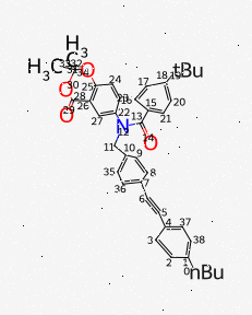 CCCCc1ccc(C#Cc2ccc(CN(C(=O)c3ccc(C(C)(C)C)cc3)c3ccc4c(c3)C(=O)OC(C)(C)O4)cc2)cc1